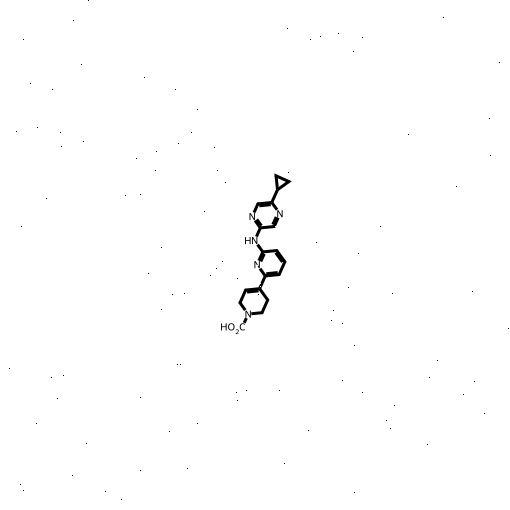 O=C(O)N1CC=C(c2cccc(Nc3cnc(C4CC4)cn3)n2)CC1